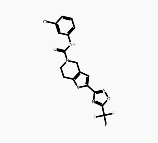 O=C(Nc1cccc(Cl)c1)N1CCc2sc(-c3noc(C(F)(F)F)n3)cc2C1